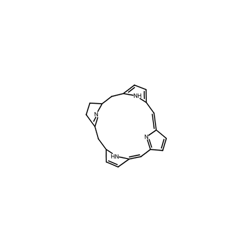 C1=C/C2=C/c3ccc([nH]3)CC3CCC(=N3)CC3C=C/C(=C/C1=N2)N3